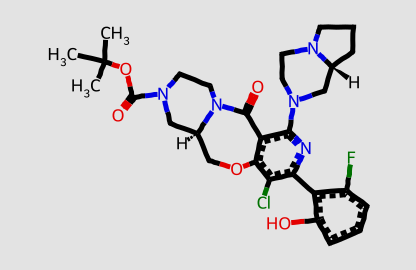 CC(C)(C)OC(=O)N1CCN2C(=O)c3c(N4CCN5CCC[C@@H]5C4)nc(-c4c(O)cccc4F)c(Cl)c3OC[C@H]2C1